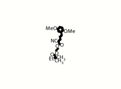 CCC(C)(C)C(=O)OCCOC(=O)/C(C#N)=C/C=C/c1cc(OC)ccc1OC